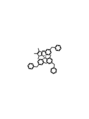 CC1=C(C)C(C)C([Si](c2ccc(Cc3ccccc3)cc2C)(c2ccc(Cc3ccccc3)cc2C)c2ccc(Cc3ccccc3)cc2C)=C1C